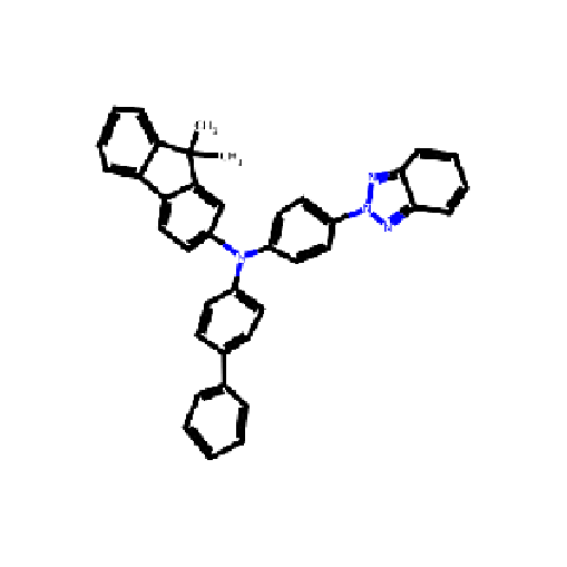 CC1(C)c2ccccc2-c2ccc(N(c3ccc(-c4ccccc4)cc3)c3ccc(-n4nc5ccccc5n4)cc3)cc21